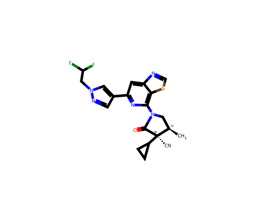 C[C@@H]1CN(c2nc(-c3cnn(CC(F)F)c3)cc3ncsc23)C(=O)[C@]1(C#N)C1CC1